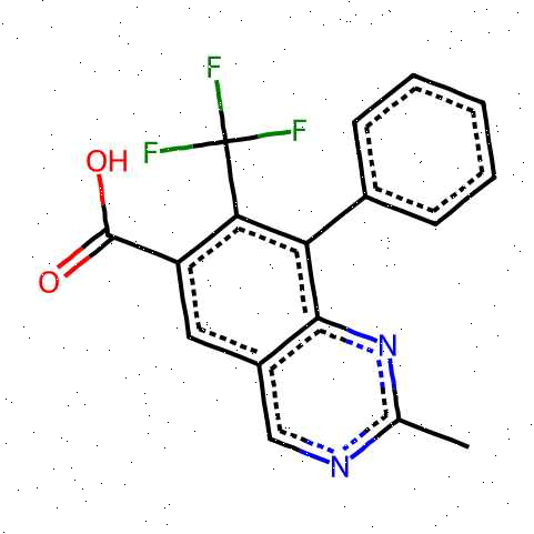 Cc1ncc2cc(C(=O)O)c(C(F)(F)F)c(-c3ccccc3)c2n1